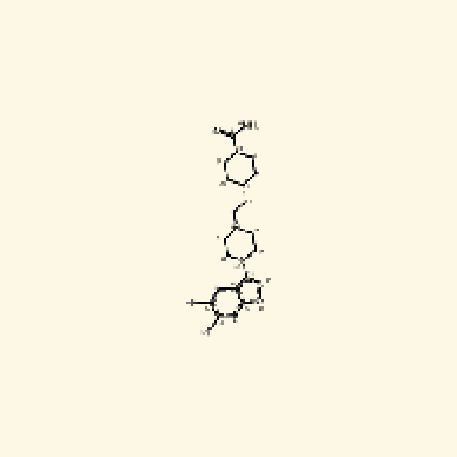 NC(=O)[C@H]1CC[C@H](CCN2CCN(c3noc4cc(F)c(F)cc34)CC2)CC1